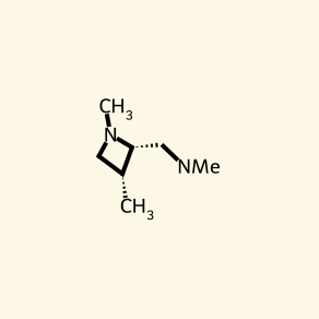 CNC[C@@H]1[C@H](C)CN1C